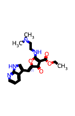 CCOC(=O)C1=C(NCCN(C)C)O/C(=C\c2c[nH]c3ncccc23)C1=O